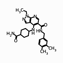 CCn1ncc2c(NC3CCC(C(N)=O)CC3)c(C(=O)NCc3ccc(C)c(C)c3)cnc21